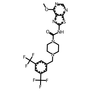 COc1ncnc2sc(NC(=O)N3CCN(Cc4cc(C(F)(F)F)cc(C(F)(F)F)c4)CC3)nc12